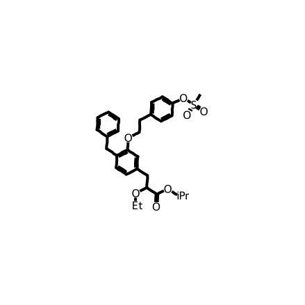 CCOC(Cc1ccc(Cc2ccccc2)c(OCCc2ccc(OS(C)(=O)=O)cc2)c1)C(=O)OC(C)C